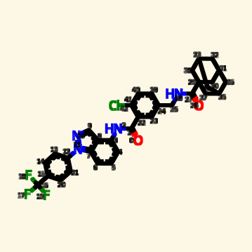 O=C(Nc1cccc2c1cnn2-c1ccc(C(F)(F)F)cc1)c1cc(CNC(=O)C23CC4CC(CC(C4)C2)C3)ccc1Cl